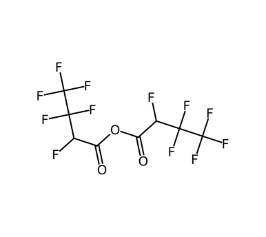 O=C(OC(=O)C(F)C(F)(F)C(F)(F)F)C(F)C(F)(F)C(F)(F)F